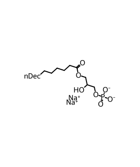 CCCCCCCCCCCCCCCC(=O)OCC(O)COP(=O)([O-])[O-].[Na+].[Na+]